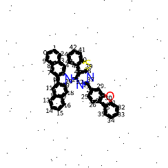 c1ccc2cc3c(cc2c1)c1cc2ccccc2cc1n3-c1nc(-c2ccc3c(c2)oc2ccccc23)nc2sc3ccccc3c12